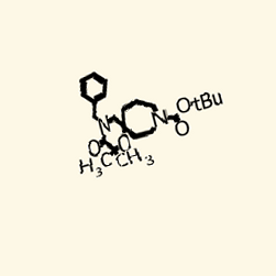 CC(C)(C)OC(=O)N1CCCC2(CC1)CN(Cc1ccccc1)C(=O)C(C)(C)O2